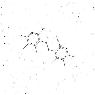 Cc1c[n+]([O-])c(SSc2c(C)c(C)c(C)c[n+]2[O-])c(C)c1C